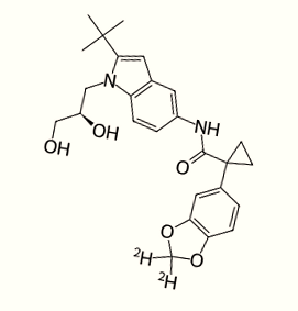 [2H]C1([2H])Oc2ccc(C3(C(=O)Nc4ccc5c(c4)cc(C(C)(C)C)n5C[C@@H](O)CO)CC3)cc2O1